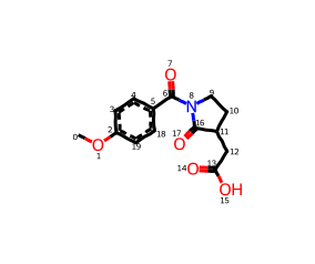 COc1ccc(C(=O)N2CCC(CC(=O)O)C2=O)cc1